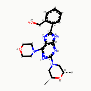 C[C@@H]1CN(c2nc(N3CCOCC3)c3nc(-c4ccccc4CO)[nH]c3n2)C[C@H](C)O1